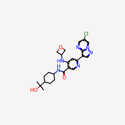 CC(C)(O)C1CCC(NC(=O)c2cnc(-c3cnn4cc(Cl)cnc34)cc2NC2COC2)CC1